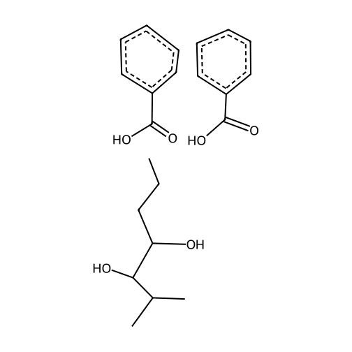 CCCC(O)C(O)C(C)C.O=C(O)c1ccccc1.O=C(O)c1ccccc1